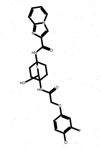 O=C(COc1ccc(Cl)c(F)c1)NC12CCC(NC(=O)c3cn4ccccc4n3)(CC1)CC2O